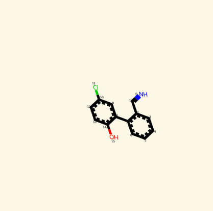 N=Cc1ccccc1-c1cc(Cl)ccc1O